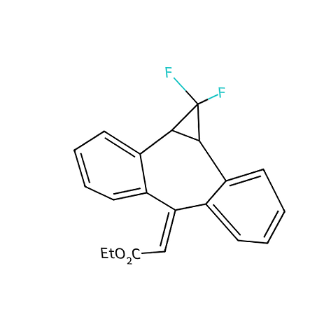 CCOC(=O)C=C1c2ccccc2C2C(c3ccccc31)C2(F)F